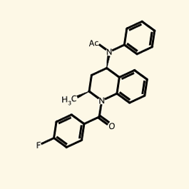 CC(=O)N(c1ccccc1)[C@@H]1C[C@H](C)N(C(=O)c2ccc(F)cc2)c2ccccc21